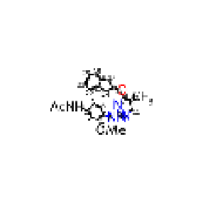 COc1cc(NC(C)=O)ccc1Nc1ncc(C(F)(F)F)c(OC2Cc3ccccc3C2)n1